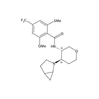 COc1cc(C(F)(F)F)cc(SC)c1C(=O)N[C@@H]1COCC[C@H]1N1CCC2CC21